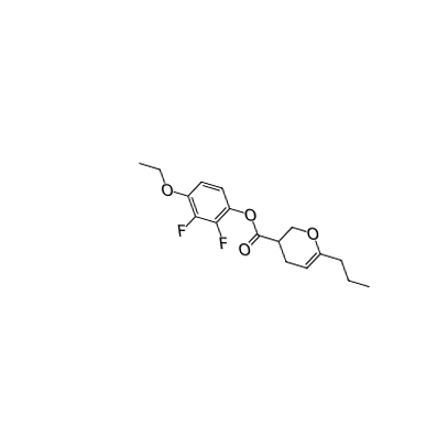 CCCC1=CCC(C(=O)Oc2ccc(OCC)c(F)c2F)CO1